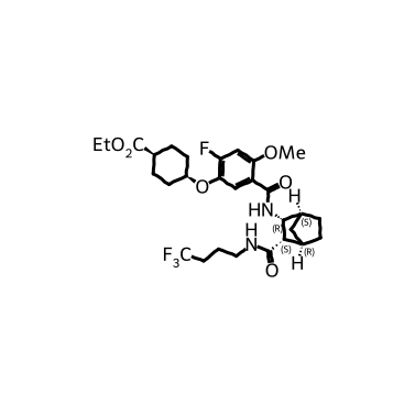 CCOC(=O)[C@H]1CC[C@@H](Oc2cc(C(=O)N[C@@H]3[C@H]4CC[C@H](C4)[C@@H]3C(=O)NCCCC(F)(F)F)c(OC)cc2F)CC1